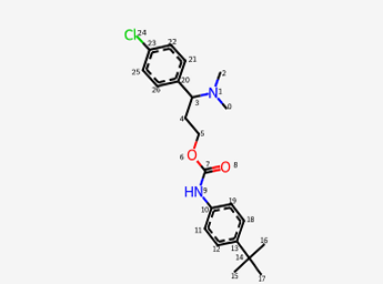 CN(C)C(CCOC(=O)Nc1ccc(C(C)(C)C)cc1)c1ccc(Cl)cc1